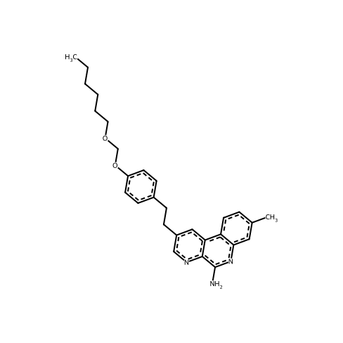 CCCCCCOCOc1ccc(CCc2cnc3c(N)nc4cc(C)ccc4c3c2)cc1